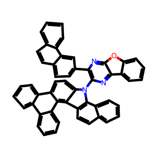 c1ccc2c(c1)ccc1ccc(-c3nc4oc5ccccc5c4nc3-n3c4ccc5c6ccccc6c6ccccc6c5c4c4ccc5ccccc5c43)cc12